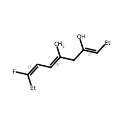 CC/C=C(\O)C/C(C)=C/C=C(/F)CC